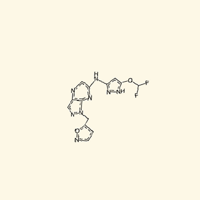 FC(F)Oc1cc(Nc2cnc3cnn(Cc4ccno4)c3n2)n[nH]1